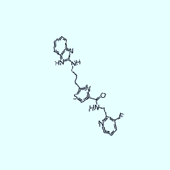 O=C(NCc1ncccc1F)c1csc(CCCNc2nc3ccccc3[nH]2)n1